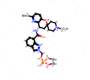 COc1ccc2c(n1)[C@@H](NC(=O)c1cccc3cn(COP(=O)(OC(C)(C)C)OC(C)(C)C)nc13)CC1(CCN(C(=O)O)CC1)O2